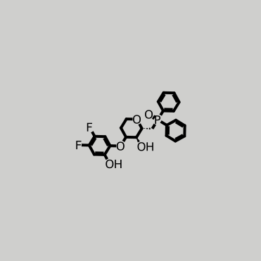 O=P(C[C@H]1OCCC(Oc2cc(F)c(F)cc2O)[C@@H]1O)(c1ccccc1)c1ccccc1